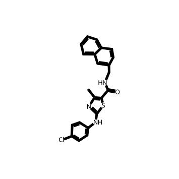 Cc1nc(Nc2ccc(Cl)cc2)sc1C(=O)NCc1ccc2ccccc2c1